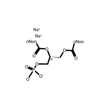 CCCCCCCCCC(=O)OC[C@H](COP(=O)([O-])[O-])OC(=O)CCCCCCCCC.[Na+].[Na+]